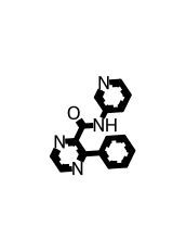 O=C(Nc1cccnc1)c1nccnc1-c1ccccc1